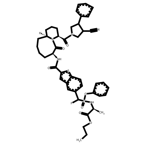 CCCOC(=O)[C@H](C)NP(=O)(Oc1ccccc1)C(F)c1ccc2sc(C(=O)N[C@H]3CCCC[C@H]4CCC[C@@H](C(=O)N5CC(C#N)C(c6ccccc6)C5)N4C3=O)cc2c1